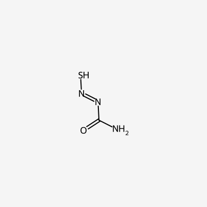 NC(=O)N=NS